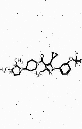 Cc1nn(-c2cccc(OC(F)(F)F)c2)c(C2CC2)c1C(=O)N1CCC(N2CC[C@H](C)[C@@H]2C)CC1